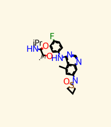 Cc1cc(N=S2(=O)CCC2)cc2ncnc(Nc3ccc(F)cc3O[C@H](C)C(=O)NC(C)C)c12